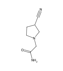 N#CC1CCN(CC(N)=O)C1